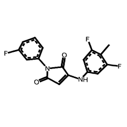 Cc1c(F)cc(NC2=CC(=O)N(c3cccc(F)c3)C2=O)cc1F